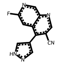 N#Cc1cnc2cnc(F)cc2c1-c1cn[nH]c1